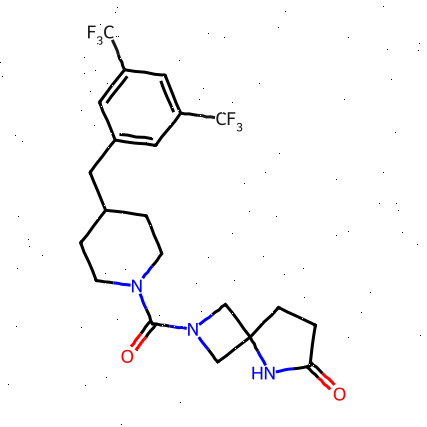 O=C1CCC2(CN(C(=O)N3CCC(Cc4cc(C(F)(F)F)cc(C(F)(F)F)c4)CC3)C2)N1